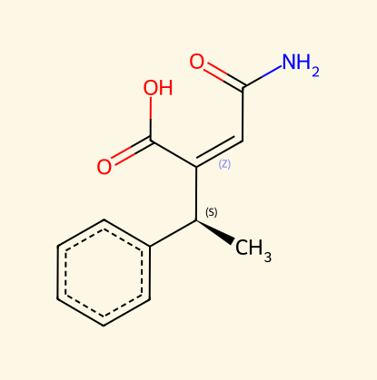 C[C@H](/C(=C/C(N)=O)C(=O)O)c1ccccc1